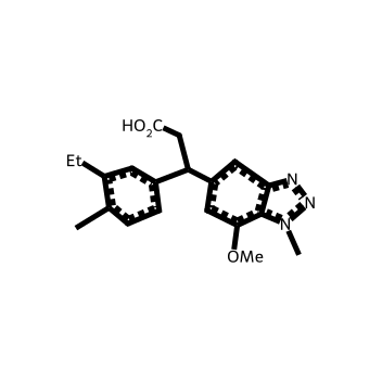 CCc1cc(C(CC(=O)O)c2cc(OC)c3c(c2)nnn3C)ccc1C